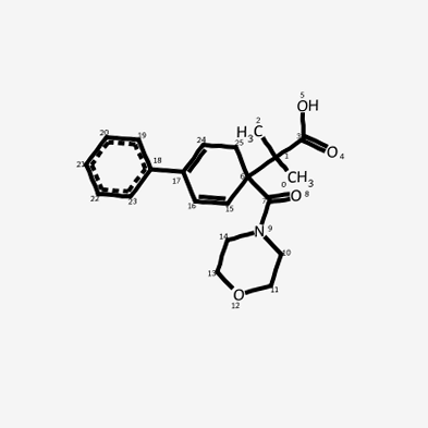 CC(C)(C(=O)O)C1(C(=O)N2CCOCC2)C=CC(c2ccccc2)=CC1